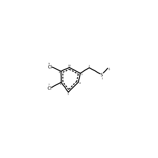 [CH2]SCc1ccc(Cl)c(Cl)c1